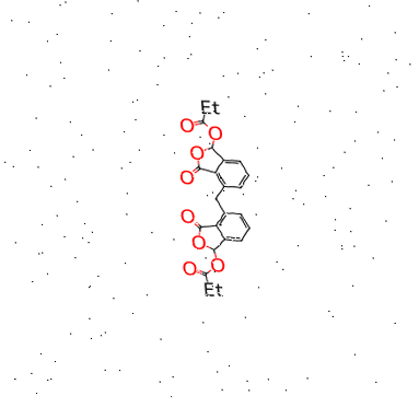 CCC(=O)OC1OC(=O)c2c(Cc3cccc4c3C(=O)OC4OC(=O)CC)cccc21